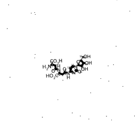 N[C@@H](CC(=O)N[C@@H](CC(=O)Nc1ccn([C@@H]2O[C@H](CO)C(O)C2O)c(=O)n1)C(=O)O)C(=O)O